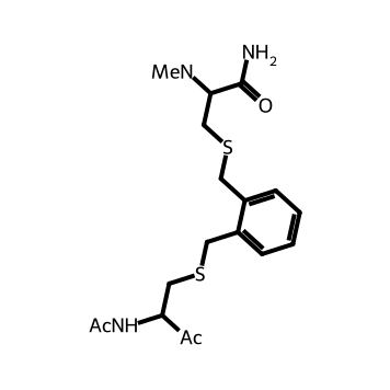 CNC(CSCc1ccccc1CSCC(NC(C)=O)C(C)=O)C(N)=O